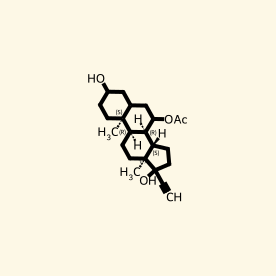 C#CC1(O)CC[C@H]2[C@@H]3C(OC(C)=O)CC4CC(O)CC[C@]4(C)[C@@H]3CC[C@@]21C